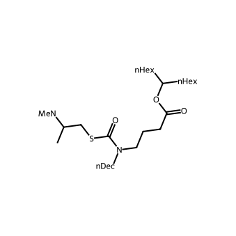 CCCCCCCCCCN(CCCC(=O)OC(CCCCCC)CCCCCC)C(=O)SCC(C)NC